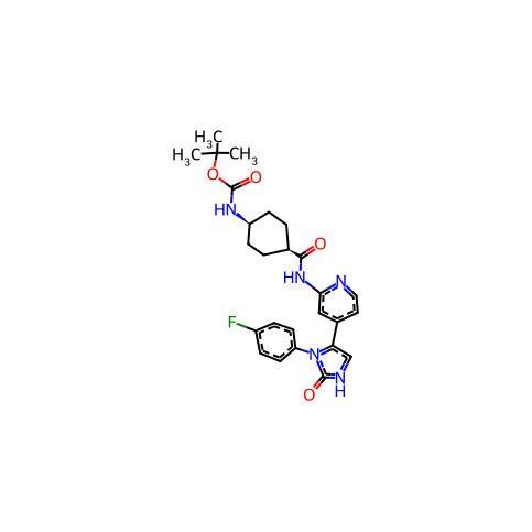 CC(C)(C)OC(=O)N[C@H]1CC[C@@H](C(=O)Nc2cc(-c3c[nH]c(=O)n3-c3ccc(F)cc3)ccn2)CC1